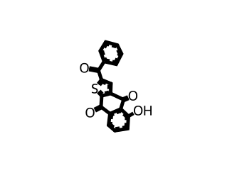 O=C(c1ccccc1)c1cc2c(s1)C(=O)c1cccc(O)c1C2=O